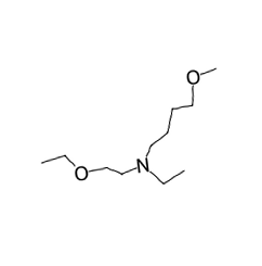 CCOCCN(CC)CCCCOC